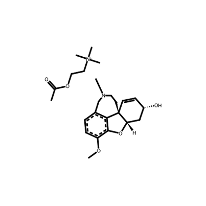 CC(=O)OCC[N+](C)(C)C.COc1ccc2c3c1O[C@H]1C[C@@H](O)C=C[C@@]31CCN(C)C2